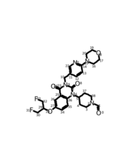 O=CN1CCC(n2c(=O)n(Cc3ccc(N4CCOCC4)nc3)c(=O)c3cc(OC(CF)CF)ccc32)CC1